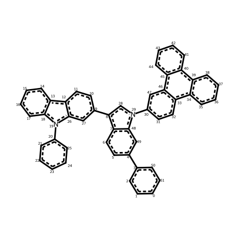 c1ccc(-c2ccc3c(-c4ccc5c6ccccc6n(-c6ccccc6)c5c4)cn(-c4ccc5c6ccccc6c6ccccc6c5c4)c3c2)cc1